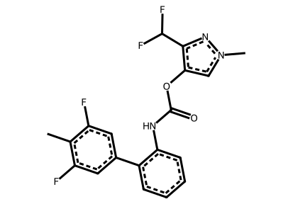 Cc1c(F)cc(-c2ccccc2NC(=O)Oc2cn(C)nc2C(F)F)cc1F